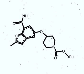 Cc1cc2cc(OC3CCN(C(=O)OC(C)(C)C)CC3)cc(C(N)=O)c2o1